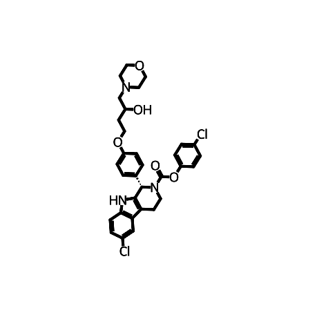 O=C(Oc1ccc(Cl)cc1)N1CCc2c([nH]c3ccc(Cl)cc23)[C@@H]1c1ccc(OCCC(O)CN2CCOCC2)cc1